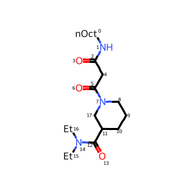 CCCCCCCCNC(=O)CC(=O)N1CCCC(C(=O)N(CC)CC)C1